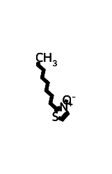 CCCCCCCCc1scc[n+]1[O-]